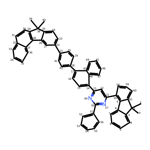 CC1(C)c2ccccc2-c2c(-c3cc(-c4ccc(-c5ccc(-c6ccc7c(c6)-c6c(ccc8ccccc68)C7(C)C)cc5)c5ccccc45)nc(-c4ccccc4)n3)cccc21